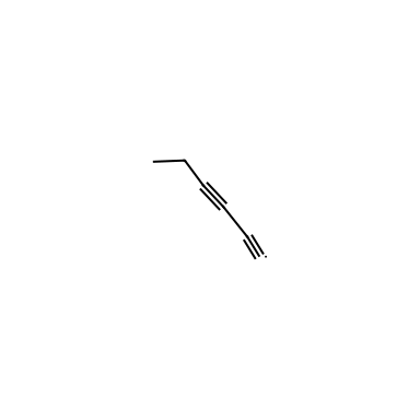 [C]#CC#CCC